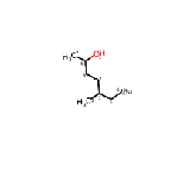 CCC(C)CC(C)CCC(C)O